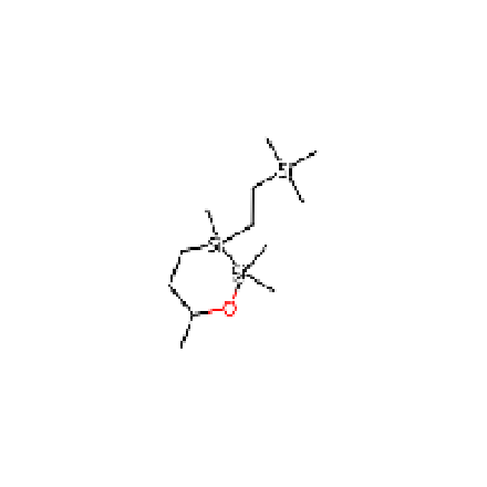 CC1CC[Si](C)(CC[Si](C)(C)C)[Si](C)(C)O1